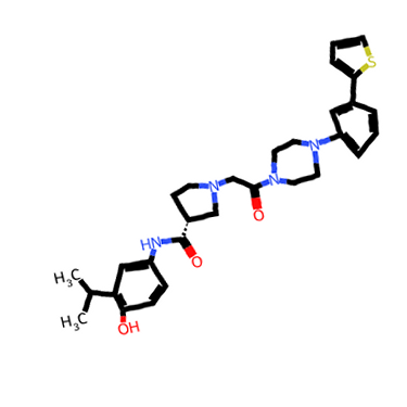 CC(C)c1cc(NC(=O)[C@@H]2CCN(CC(=O)N3CCN(c4cccc(-c5cccs5)c4)CC3)C2)ccc1O